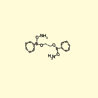 NOB(OCCOB(ON)c1ccccc1)c1ccccc1